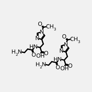 CC(=O)n1cnc(CC(NC(=O)CCN)C(=O)O)c1.CC(=O)n1cnc(CC(NC(=O)CCN)C(=O)O)c1